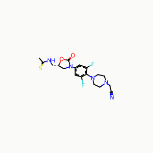 CC(=S)NC[C@H]1CN(c2cc(F)c(N3CCN(CC#N)CC3)c(F)c2)C(=O)O1